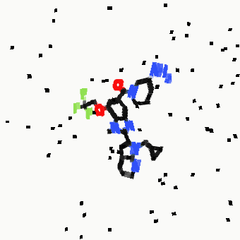 Cn1c(-c2cc3cccnc3n2CC2CC2)nc2cc(C(=O)N3CCC[C@@H](N)C3)cc(OCC(F)(F)F)c21